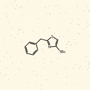 CC(C)(C)c1csc(Cc2ccccc2)n1